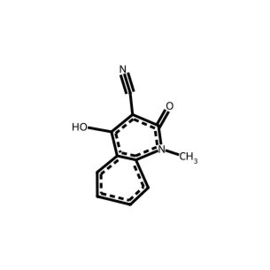 Cn1c(=O)c(C#N)c(O)c2ccccc21